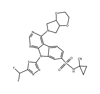 N#CC1(NS(=O)(=O)c2ccc3c4c(N5CC6OCCOC6C5)ncnc4n(-c4nnc(C(F)F)s4)c3c2)CC1